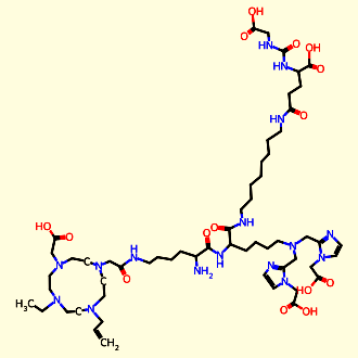 C=CCN1CCN(CC)CCN(CC(=O)O)CCN(CC(=O)NCCCCC(N)C(=O)NC(CCCCN(Cc2nccn2CC(=O)O)Cc2nccn2CC(=O)O)C(=O)NCCCCCCCCNC(=O)CCC(NC(=O)NCC(=O)O)C(=O)O)CC1